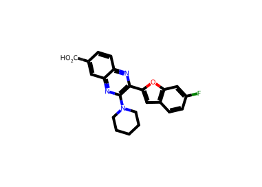 O=C(O)c1ccc2nc(-c3cc4ccc(F)cc4o3)c(N3CCCCC3)nc2c1